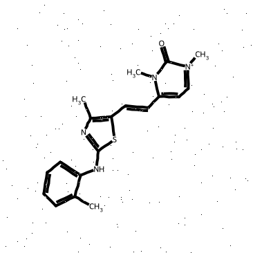 Cc1ccccc1Nc1nc(C)c(C=Cc2cc[n+](C)c(=O)n2C)s1